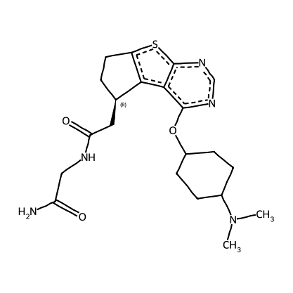 CN(C)C1CCC(Oc2ncnc3sc4c(c23)[C@@H](CC(=O)NCC(N)=O)CC4)CC1